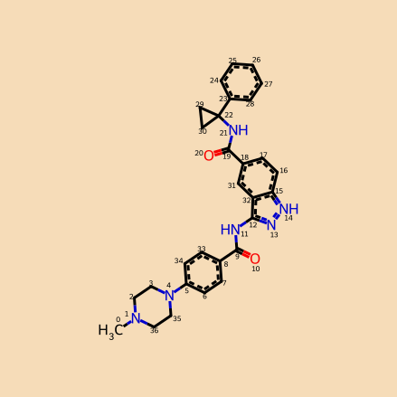 CN1CCN(c2ccc(C(=O)Nc3n[nH]c4ccc(C(=O)NC5(c6ccccc6)CC5)cc34)cc2)CC1